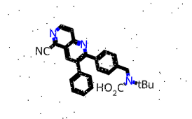 CC(C)(C)N(Cc1ccc(-c2nc3ccnc(C#N)c3cc2-c2ccccc2)cc1)C(=O)O